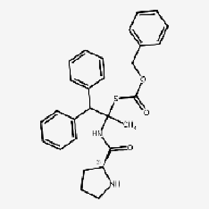 CC(NC(=O)[C@@H]1CCCN1)(SC(=O)OCc1ccccc1)C(c1ccccc1)c1ccccc1